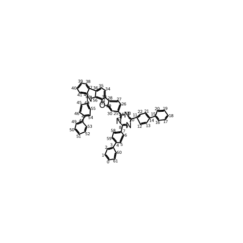 c1ccc(-c2ccc(-c3nc(-c4ccc(-c5ccccc5)cc4)nc(-c4ccc5c(c4)oc4c5ccc5c6ccccc6n(-c6ccc(-c7ccccc7)cc6)c54)n3)cc2)cc1